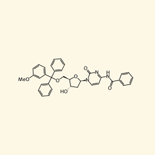 COc1cccc(C(OC[C@H]2O[C@@H](n3ccc(NC(=O)c4ccccc4)nc3=O)C[C@@H]2O)(c2ccccc2)c2ccccc2)c1